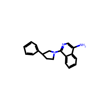 Nc1cnc(N2CCC(c3ccccc3)C2)c2ccccc12